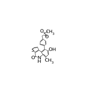 Cc1cc(O)c(-c2ccc(CS(C)(=O)=O)cc2)c2c1[nH]c(=O)c1sccc12